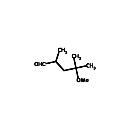 COC(C)(C)CC(C)C=O